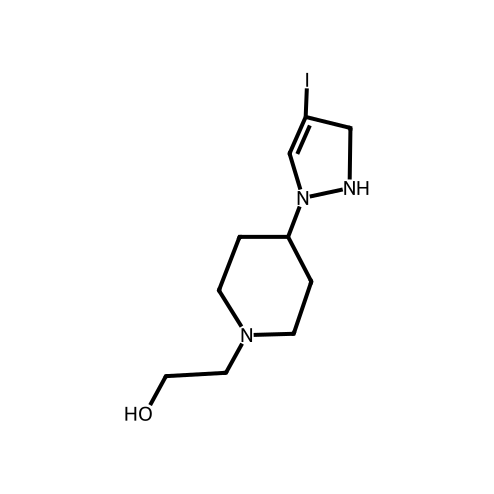 OCCN1CCC(N2C=C(I)CN2)CC1